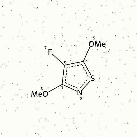 COc1nsc(OC)c1F